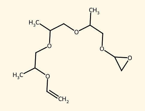 C=COC(C)COC(C)COC(C)COC1CO1